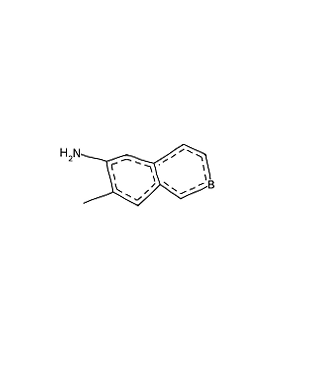 Cc1cc2cbccc2cc1N